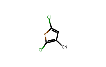 N#Cc1cc(Cl)sc1Cl